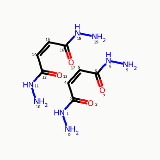 NNC(=O)/C=C\C(=O)NN.NNC(=O)/C=C\C(=O)NN